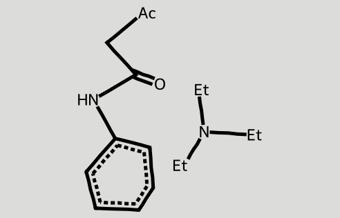 CC(=O)CC(=O)Nc1ccccc1.CCN(CC)CC